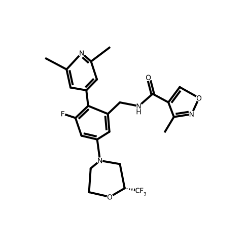 Cc1cc(-c2c(F)cc(N3CCO[C@@H](C(F)(F)F)C3)cc2CNC(=O)c2conc2C)cc(C)n1